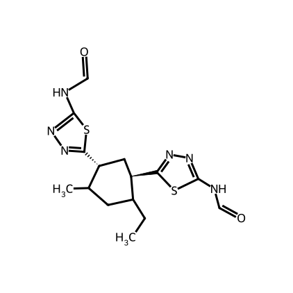 CCC1CC(C)[C@H](c2nnc(NC=O)s2)C[C@H]1c1nnc(NC=O)s1